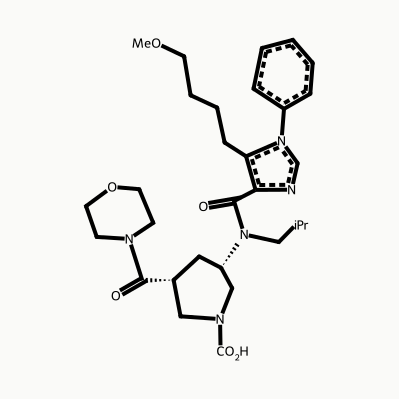 COCCCCc1c(C(=O)N(CC(C)C)[C@H]2C[C@@H](C(=O)N3CCOCC3)CN(C(=O)O)C2)ncn1-c1ccccc1